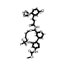 COC(=O)Nc1ccc2c(c1)NC(C(F)(F)F)CCCCC(NC(=O)C=Cc1cc(Cl)ccc1-n1cnnn1)c1cc-2ccn1